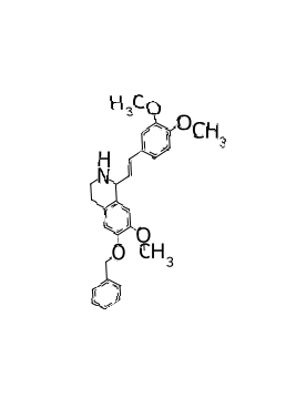 COc1ccc(C=CC2NCCc3cc(OCc4ccccc4)c(OC)cc32)cc1OC